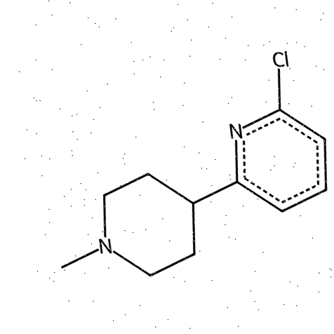 CN1CCC(c2cccc(Cl)n2)CC1